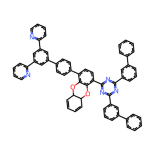 C1=CC2Oc3c(-c4ccc(-c5cc(-c6ccccn6)cc(-c6ccccn6)c5)cc4)ccc(-c4nc(-c5cccc(-c6ccccc6)c5)nc(-c5cccc(-c6ccccc6)c5)n4)c3OC2C=C1